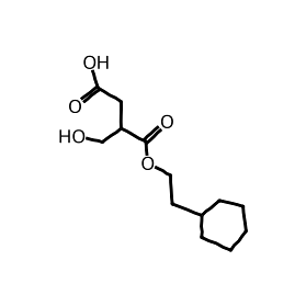 O=C(O)CC(CO)C(=O)OCCC1CCCCC1